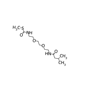 CSC(=O)NCCOCCOCCNC(=O)CC(C)C